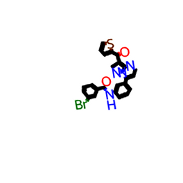 O=C(Nc1cccc(-c2ccnc3c(C(=O)c4cccs4)cnn23)c1)c1cccc(Br)c1